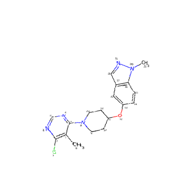 Cc1c(Cl)ncnc1N1CCC(Oc2ccc3c(cnn3C)c2)CC1